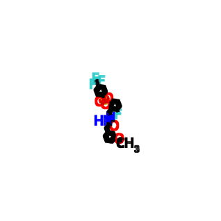 COc1cccc(CC(=O)NN=Cc2c(F)cccc2OS(=O)(=O)c2ccc(C(F)(F)F)cc2)c1